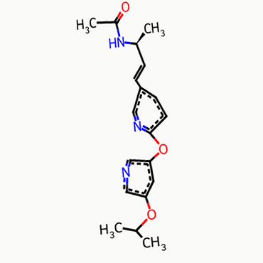 CC(=O)N[C@@H](C)/C=C/c1ccc(Oc2cncc(OC(C)C)c2)nc1